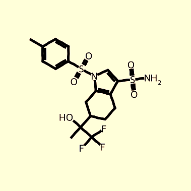 Cc1ccc(S(=O)(=O)n2cc(S(N)(=O)=O)c3c2CC(C(C)(O)C(F)(F)F)CC3)cc1